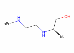 CCCNCCN[C@H](CC)CO